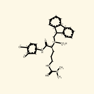 CN(C)C(=N)NCCC[C@@H](C(=O)Nc1ccc(Cl)c(Cl)c1)N(CC1c2ccccc2-c2ccccc21)C(=O)O